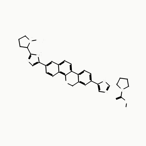 CC(C)(C)OC(=O)N1CCC[C@H]1c1ncc(-c2ccc3c(c2)COc2c-3ccc3cc(-c4cnc(C5CCCN5C(=O)O)[nH]4)ccc23)[nH]1